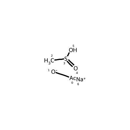 CC(=O)[O-].CS(=O)O.[Na+]